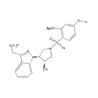 CCOc1ccc(S(=O)(=O)N2C[C@@H](C)[C@@H](n3nc(CC(=O)O)c4ccccc43)C2)c(OC)c1